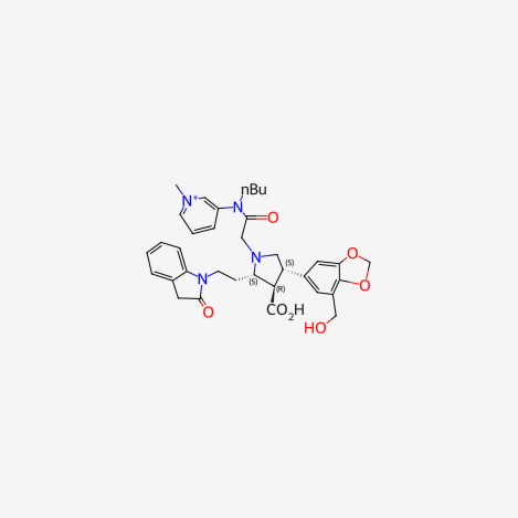 CCCCN(C(=O)CN1C[C@H](c2cc(CO)c3c(c2)OCO3)[C@@H](C(=O)O)[C@@H]1CCN1C(=O)Cc2ccccc21)c1ccc[n+](C)c1